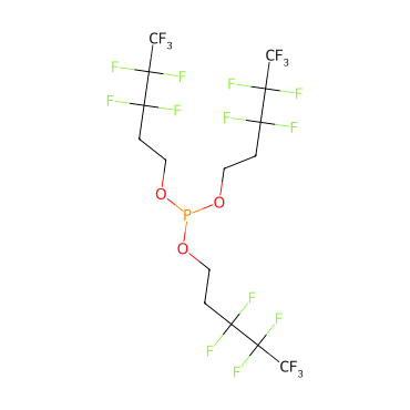 FC(F)(F)C(F)(F)C(F)(F)CCOP(OCCC(F)(F)C(F)(F)C(F)(F)F)OCCC(F)(F)C(F)(F)C(F)(F)F